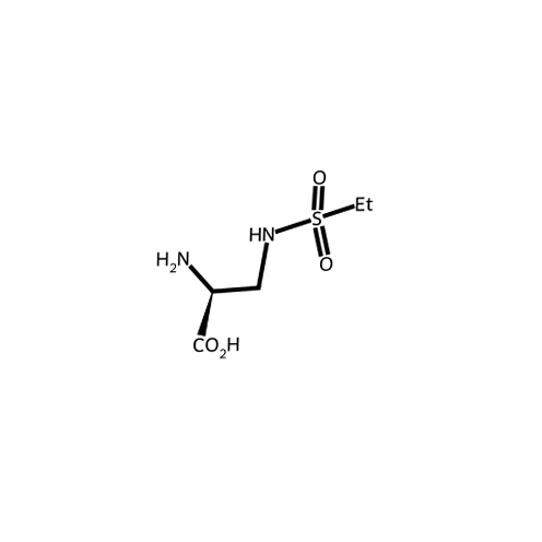 CCS(=O)(=O)NC[C@H](N)C(=O)O